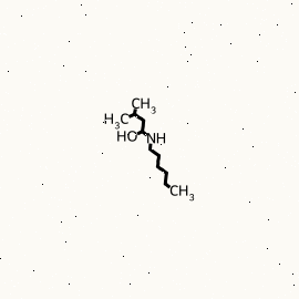 CCCCCCNC(O)CC(C)C